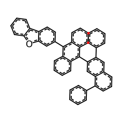 c1ccc(-c2cc3cccc(-c4ccccc4)c3cc2-c2c3ccccc3c(-c3ccc4c(c3)oc3ccccc34)c3ccccc23)cc1